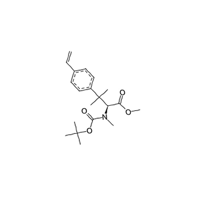 C=Cc1ccc(C(C)(C)[C@@H](C(=O)OC)N(C)C(=O)OC(C)(C)C)cc1